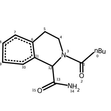 CCCCC(=O)N1CCc2c[c]ccc2C1C(N)=O